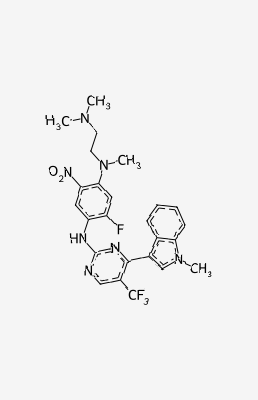 CN(C)CCN(C)c1cc(F)c(Nc2ncc(C(F)(F)F)c(-c3cn(C)c4ccccc34)n2)cc1[N+](=O)[O-]